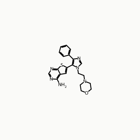 Nc1ncnc2sc(-c3c(-c4ccccc4)ncn3CCN3CCOCC3)cc12